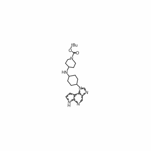 CC(C)(C)OC(=O)N1CCC(NC2CCC(n3cnc4cnc5[nH]ccc5c43)CC2)CC1